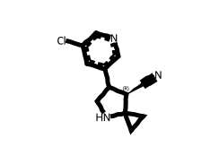 N#C[C@@H]1C(c2cncc(Cl)c2)CNC12CC2